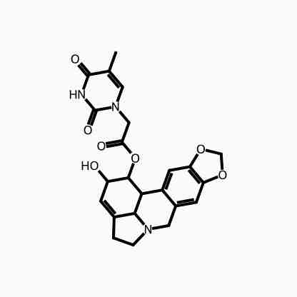 Cc1cn(CC(=O)OC2C(O)C=C3CCN4Cc5cc6c(cc5C2C34)OCO6)c(=O)[nH]c1=O